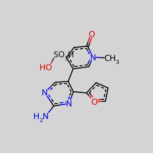 Cn1cc(-c2cnc(N)nc2-c2ccco2)ccc1=O.O=S(=O)(O)O